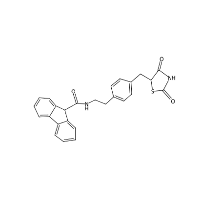 O=C1NC(=O)C(Cc2ccc(CCNC(=O)C3c4ccccc4-c4ccccc43)cc2)S1